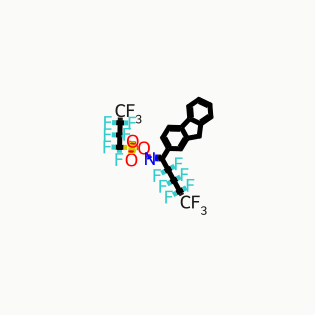 O=S(=O)(O/N=C(\c1ccc2c(c1)Cc1ccccc1-2)C(F)(F)C(F)(F)C(F)(F)C(F)(F)F)C(F)(F)C(F)(F)C(F)(F)C(F)(F)F